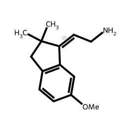 COc1ccc2c(c1)/C(=C\CN)C(C)(C)C2